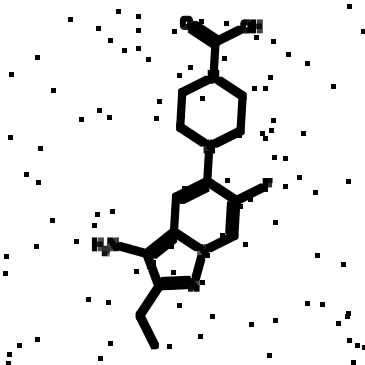 CCc1nn2cc(F)c(N3CCN(C(=O)O)CC3)cc2c1N